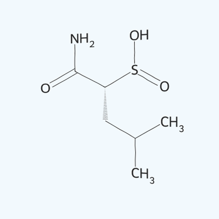 CC(C)C[C@H](C(N)=O)S(=O)O